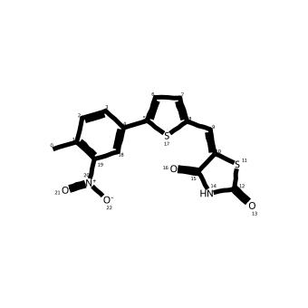 Cc1ccc(-c2ccc(C=C3SC(=O)NC3=O)s2)cc1[N+](=O)[O-]